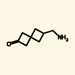 NCC1CC2(CC(=O)C2)C1